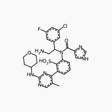 Cc1cnc(NC2CCOCC2)nc1-c1cccc(N(C(=O)c2c[nH]cn2)C(CN)c2cc(F)cc(Cl)c2)c1S(=O)(=O)O